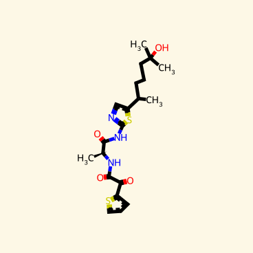 CC(CCCC(C)(C)O)c1cnc(NC(=O)[C@H](C)NC(=O)C(=O)c2cccs2)s1